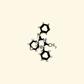 C/C(=N/C(=N\c1ccccc1)N1CCOCC1)Nc1ccccc1